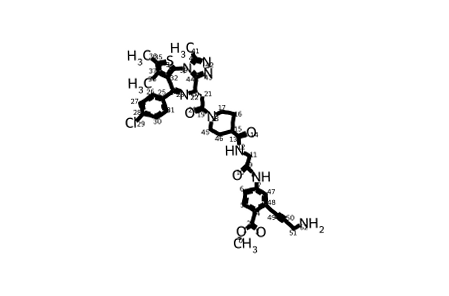 COC(=O)c1ccc(NC(=O)CNC(=O)C2CCN(C(=O)C[C@@H]3N=C(c4ccc(Cl)cc4)c4c(sc(C)c4C)-n4c(C)nnc43)CC2)cc1C#CCN